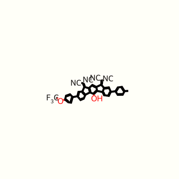 [C-]#[N+]/C(C#N)=C1/c2cc(-c3ccc(OC(F)(F)F)cc3)ccc2-c2c1cc1c(c2O)-c2ccc(-c3ccc(C)cc3)cc2/C1=C(/C#N)[N+]#[C-]